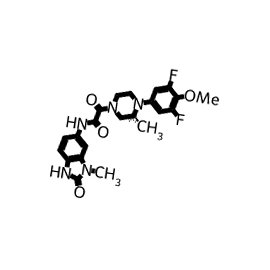 COc1c(F)cc(N2CCN(C(=O)C(=O)Nc3ccc4[nH]c(=O)n(C)c4c3)C[C@H]2C)cc1F